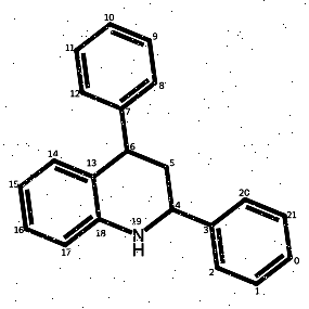 c1ccc(C2CC(c3ccccc3)c3ccccc3N2)cc1